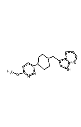 COc1ccc(N2CCN(Cc3c[nH]c4ncccc34)CC2)nn1